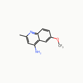 Cc1cc(N)c2cc(OC(F)(F)F)ccc2n1